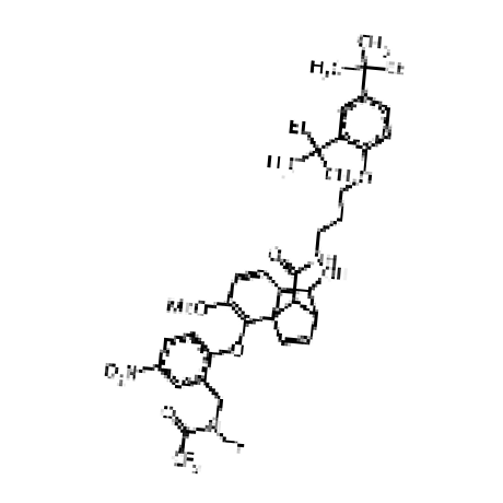 CCN(Cc1cc([N+](=O)[O-])ccc1OC1=C(OC)C=CC2C(O)C3C=CC12C3C(=O)NCCCOc1ccc(C(C)(C)CC)cc1C(C)(C)CC)C(=O)C(F)(F)F